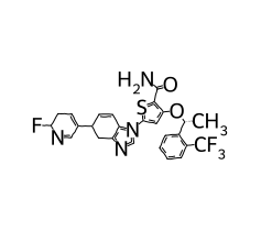 C[C@@H](Oc1cc(-n2cnc3c2C=CC(C2=CCC(F)N=C2)C3)sc1C(N)=O)c1ccccc1C(F)(F)F